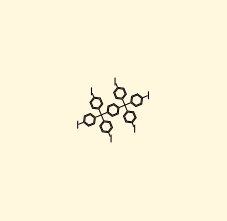 Ic1ccc(C(c2ccc(I)cc2)(c2ccc(I)cc2)c2ccc(C(c3ccc(I)cc3)(c3ccc(I)cc3)c3ccc(I)cc3)cc2)cc1